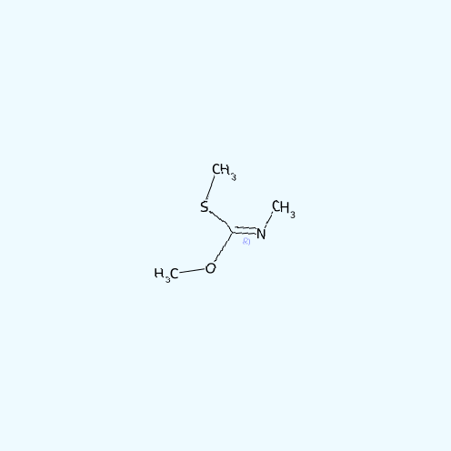 C/N=C(/OC)SC